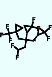 FC(F)CC([CH][C@H]1CC1(F)F)(CC1(C(F)(F)F)CC1)[C@H]1CC1(F)F